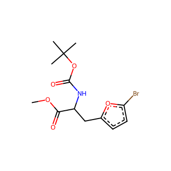 COC(=O)C(Cc1ccc(Br)o1)NC(=O)OC(C)(C)C